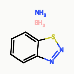 B.N.c1ccc2snnc2c1